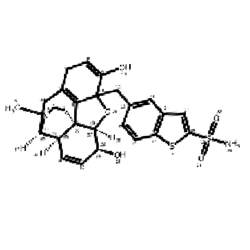 CN1CC[C@]23C4=C5CC=C(O)C4(Cc4ccc6sc(S(N)(=O)=O)cc6c4)O[C@H]2[C@@H](O)C=C[C@H]3[C@H]1C5